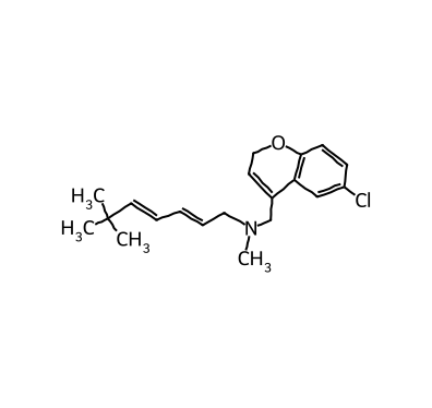 CN(C/C=C/C=C/C(C)(C)C)CC1=CCOc2ccc(Cl)cc21